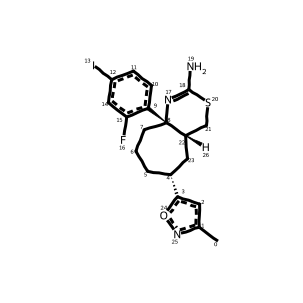 Cc1cc([C@@H]2CCC[C@]3(c4ccc(I)cc4F)N=C(N)SC[C@@H]3C2)on1